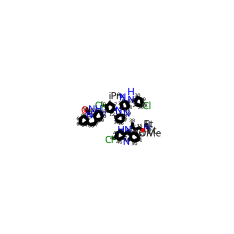 CC(C)/N=c1\cc2n(-c3ccc(Cl)cc3)c3ccccc3nc-2cc1Nc1ccc(Cl)cc1.CCN(CC)CCCC(C)Nc1c2ccc(Cl)cc2nc2ccc(OC)cc12.NC(=O)N1c2ccccc2C=Cc2ccccc21